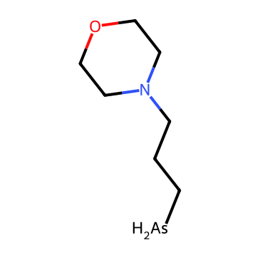 [AsH2]CCCN1CCOCC1